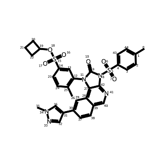 Cc1ccc(S(=O)(=O)n2c(=O)n(-c3cc(S(=O)(=O)OC4CCC4)ccc3C)c3c4cc(-c5cnn(C)c5)ccc4cnc32)cc1